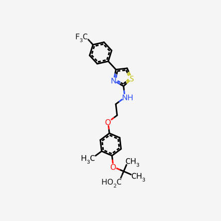 Cc1cc(OCCNc2nc(-c3ccc(C(F)(F)F)cc3)cs2)ccc1OC(C)(C)C(=O)O